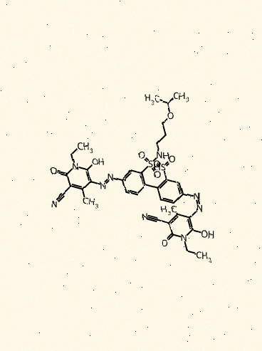 CCn1c(O)c(N=Nc2ccc(-c3ccc(/N=N\c4c(C)c(C#N)c(=O)n(CC)c4O)cc3[SH](=O)=O)c(S(=O)(=O)NCCCOC(C)C)c2)c(C)c(C#N)c1=O